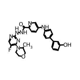 CC1COCCN1c1nc(NNC(=O)c2ccc(Nc3ccc(-c4cccc(O)c4)cc3)cn2)ncc1F